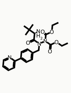 CCOC(=O)N(C(=O)OCC)N(Cc1ccc(-c2ccccn2)cc1)C(=O)[C@@H](N)C(C)(C)C